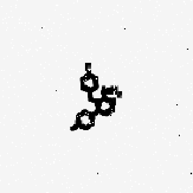 CN1CCN(C2C=CN=C([AsH2])N2Cc2ccc(F)cc2)CC1